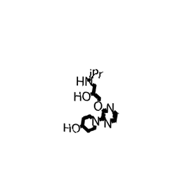 CC(C)NCC(O)COc1nccnc1N1CCC(O)CC1